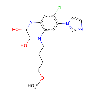 O=S(=O)(O)OCCCCN1c2cc(-n3ccnc3)c(Cl)cc2NC(O)C1O